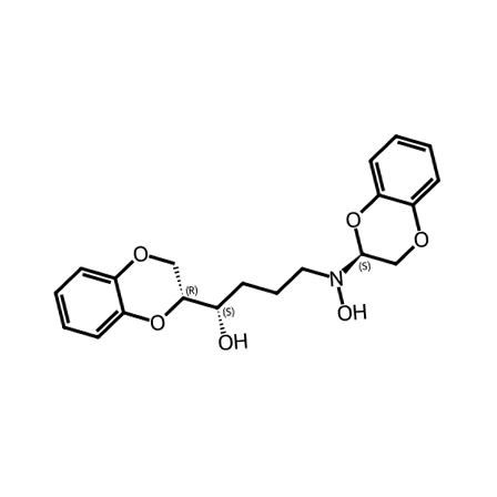 O[C@@H](CCCN(O)[C@@H]1COc2ccccc2O1)[C@H]1COc2ccccc2O1